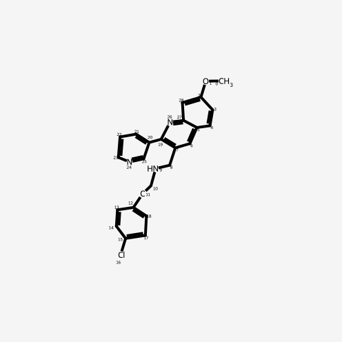 COc1ccc2cc(CNCCc3ccc(Cl)cc3)c(-c3cccnc3)nc2c1